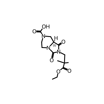 CCOC(=O)C(C)(C)CN1C(=O)[C@@H]2CN(C(=O)O)CCN2C1=O